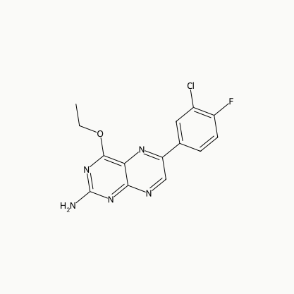 CCOc1nc(N)nc2ncc(-c3ccc(F)c(Cl)c3)nc12